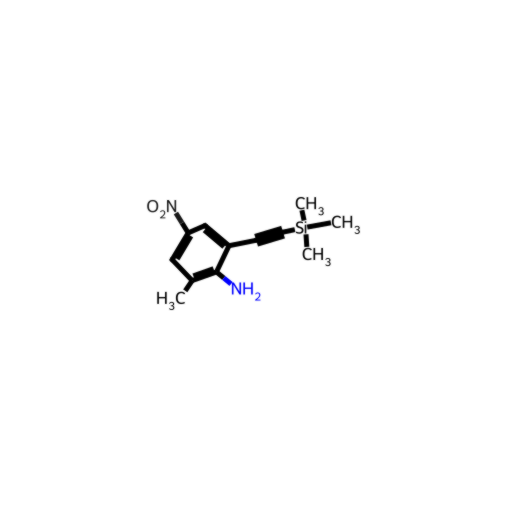 Cc1cc([N+](=O)[O-])cc(C#C[Si](C)(C)C)c1N